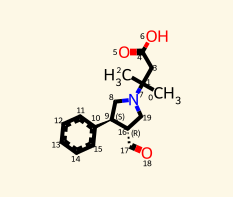 CC(C)(CC(=O)O)N1C[C@H](c2ccccc2)[C@@H](C=O)C1